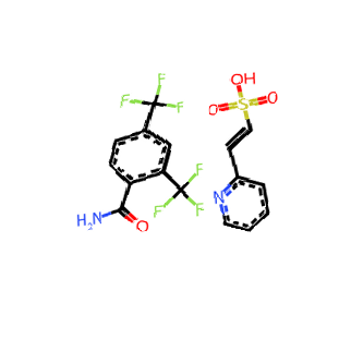 NC(=O)c1ccc(C(F)(F)F)cc1C(F)(F)F.O=S(=O)(O)/C=C/c1ccccn1